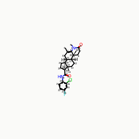 CC1=C2N(C)C(=O)CC[C@]2(C)[C@@H]2CC[C@]3(C)C(C(=O)Nc4ccc(F)cc4Cl)CC[C@H]3[C@@H]2C1